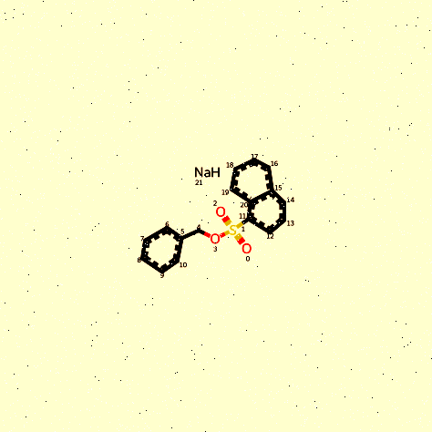 O=S(=O)(OCc1ccccc1)c1cccc2ccccc12.[NaH]